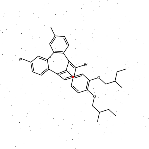 CCC(C)COc1ccc(-c2c3ccc(Br)c2-c2ccc(C)cc2-c2cc(Br)ccc2-3)cc1OCC(C)CC